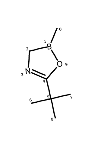 CB1CN=C(C(C)(C)C)O1